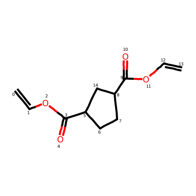 C=COC(=O)C1CCC(C(=O)OC=C)C1